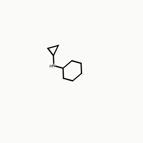 [CH]1CCCCC1NC1CC1